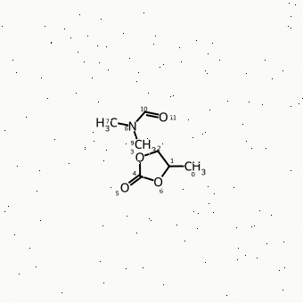 CC1COC(=O)O1.CN(C)C=O